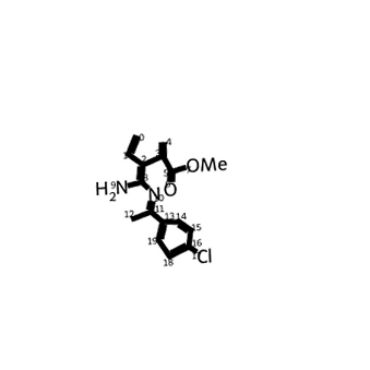 C=C/C(C(=C)C(=O)OC)=C(N)/N=C(\C)c1ccc(Cl)cc1